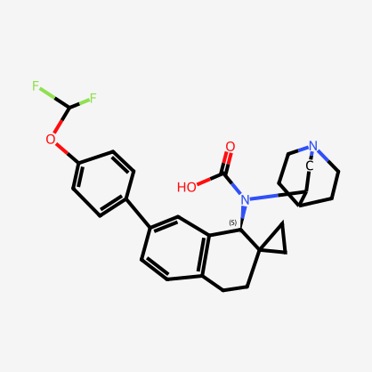 O=C(O)N(C1CN2CCC1CC2)[C@@H]1c2cc(-c3ccc(OC(F)F)cc3)ccc2CCC12CC2